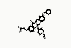 O=CN1CCC(n2c(=O)n(Cc3cccc(OC4CCCC4)c3)c(=O)c3cc(OCC(F)F)ccc32)CC1